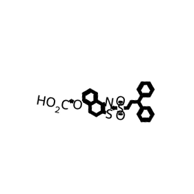 O=C(O)COc1cccc2c1CCc1sc(S(=O)(=O)CCC(c3ccccc3)c3ccccc3)nc1-2